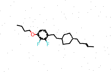 C/C=C/CCC1CCC(CCc2ccc(OCCCC)c(F)c2F)CC1